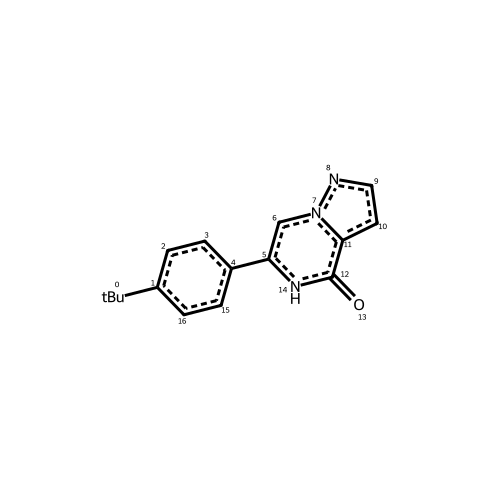 CC(C)(C)c1ccc(-c2cn3nccc3c(=O)[nH]2)cc1